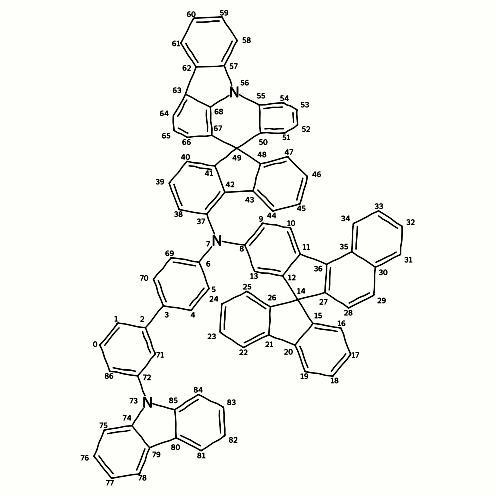 c1cc(-c2ccc(N(c3ccc4c(c3)C3(c5ccccc5-c5ccccc53)c3ccc5ccccc5c3-4)c3cccc4c3-c3ccccc3C43c4ccccc4-n4c5ccccc5c5cccc3c54)cc2)cc(-n2c3ccccc3c3ccccc32)c1